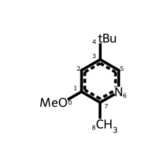 COc1cc(C(C)(C)C)cnc1C